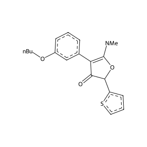 CCCCOc1cccc(C2=C(NC)OC(c3cccs3)C2=O)c1